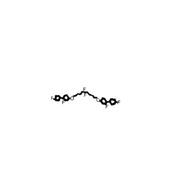 Fc1ccc(-c2ccc(OCCCCCC(F)(F)CCCCCOc3ccc(-c4ccc(F)cc4)c(F)c3)cc2F)cc1